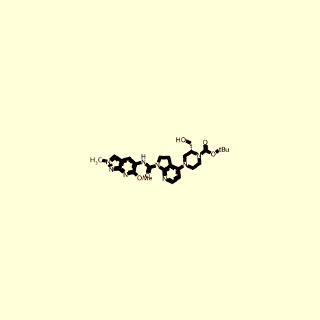 COc1nc2nn(C)cc2cc1NC(=O)N1CCc2c(N3CCN(C(=O)OC(C)(C)C)[C@@H](CO)C3)ccnc21